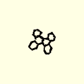 C=c1cccc/c1=c1/c(=C2/C=CC=CC2)c(/C=C\C)c(/C=C\C)c2ccccc12